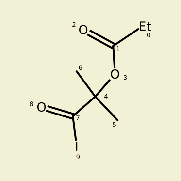 CCC(=O)OC(C)(C)C(=O)I